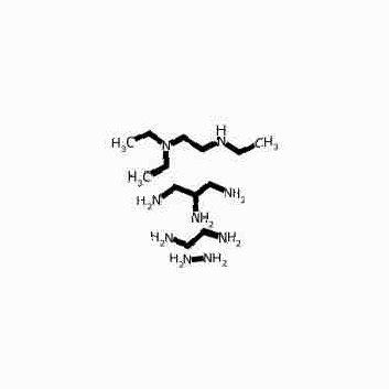 CCNCCN(CC)CC.NCC(N)CN.NCCN.NN